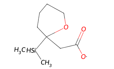 C[SiH](C)C1(CC([O])=O)CCCCO1